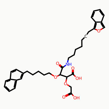 O=C(O)COC(C(=O)O)C(OCCCCCc1ccc2ccccc2c1)C(=O)NCCCCCCCc1occ2ccccc12